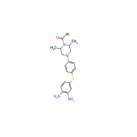 CC(C)C(=O)N1C(C)CN(c2ccc(Sc3ccc(N)c(N)c3)cc2)CC1C